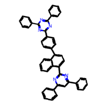 c1ccc(-c2cc(-c3ccccc3)nc(-c3ccc(-c4ccc(-c5nc(-c6ccccc6)nc(-c6ccccc6)n5)cc4)c4ccccc34)n2)cc1